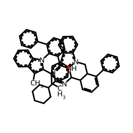 CCCc1c(C)c2ccccc2n1-c1c(C2=NC(C3CCCCC3)=NC(C3C=CC=C(c4ccccc4)C3Cn3c4ccccc4c4ccccc43)N2)cccc1-c1ccccc1